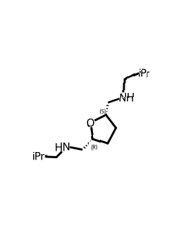 CC(C)CNC[C@H]1CC[C@@H](CNCC(C)C)O1